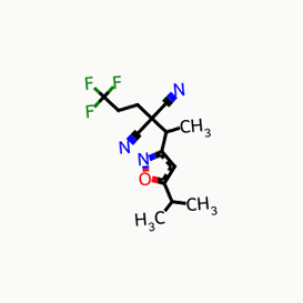 CC(C)c1cc(C(C)C(C#N)(C#N)CCC(F)(F)F)no1